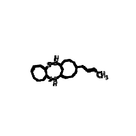 CC=CCC1CCCC2BSC3CCCCCCC3SBC(CCC1)C2